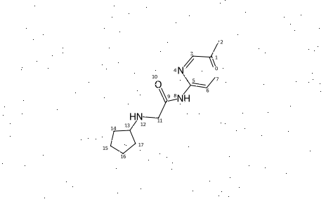 C=C(C)/C=N\C(=C/C)NC(=O)CNC1CCCC1